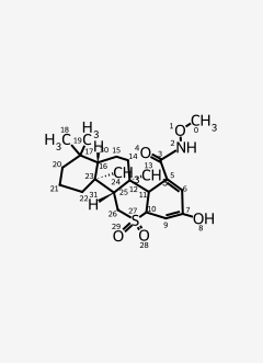 CONC(=O)C1=CC(O)=CC2C1[C@]1(C)CC[C@H]3C(C)(C)CCC[C@]3(C)[C@H]1CS2(=O)=O